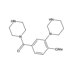 COc1ccc(C(=O)N2CCNCC2)cc1N1CCCNC1